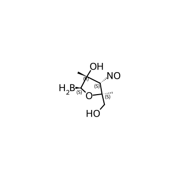 B[C@@H]1O[C@](C)(CO)[C@@H](N=O)[C@@]1(C)O